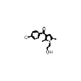 Cc1cc(C(=O)c2ccc(Cl)cc2)c(C)n1CCO